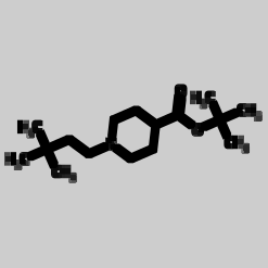 CC(C)(C)CCN1CCC(C(=O)OC(C)(C)C)CC1